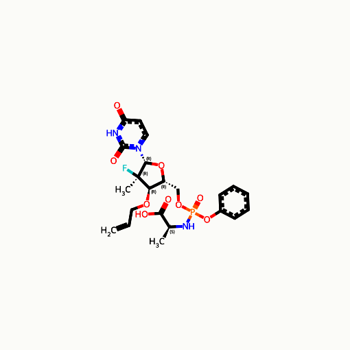 C=CCO[C@@H]1[C@@H](COP(=O)(N[C@@H](C)C(=O)O)Oc2ccccc2)O[C@@H](n2ccc(=O)[nH]c2=O)[C@]1(C)F